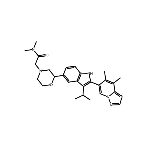 Cc1c(-c2[nH]c3ccc(C4CN(CC(=O)N(C)C)CCO4)cc3c2C(C)C)cn2ncnc2c1C